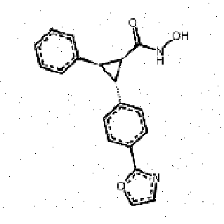 O=C(NO)[C@@H]1[C@H](c2ccccc2)[C@H]1c1ccc(-c2ncco2)cc1